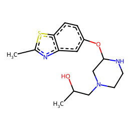 Cc1nc2cc(OC3CN(CC(C)O)CCN3)ccc2s1